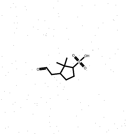 CC1(C)C(CC=O)CCC1S(=O)(=O)O